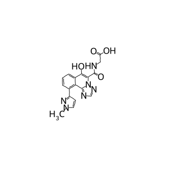 Cn1ccc(-c2cccc3c(O)c(C(=O)NCC(=O)O)n4ncnc4c23)n1